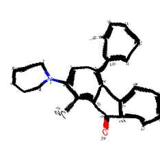 N#Cc1c(N2CCCC2)cc(-c2ccccc2)c2c1C(=O)c1ccccc1-2